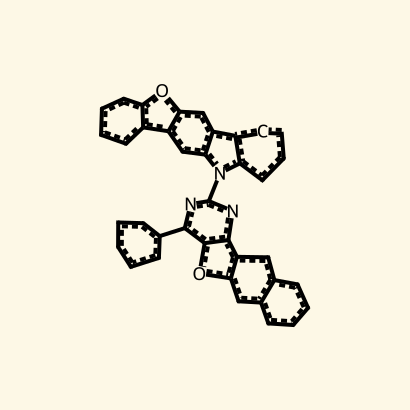 c1ccc(-c2nc(-n3c4ccccc4c4cc5oc6ccccc6c5cc43)nc3c2oc2cc4ccccc4cc23)cc1